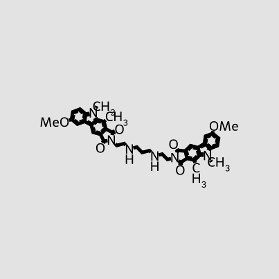 COc1ccc2c(c1)c1cc3c(c(C)c1n2C)C(=O)N(CCNCCCNCCN1C(=O)c2cc4c5cc(OC)ccc5n(C)c4c(C)c2C1=O)C3=O